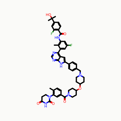 Cc1ccc(C(=O)N2CCC(OC3CCN(Cc4ccc(-c5cc6c(-c7cc(F)cc(NC(=O)c8ccc(C(C)(C)O)cc8F)c7C)ncnc6[nH]5)cc4)CC3)CC2)cc1N1CCC(=O)NC1=O